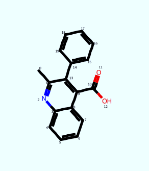 Cc1nc2ccccc2c(C(=O)O)c1-c1ccccc1